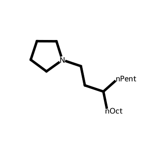 CCCCCCCCC(CCCCC)CCN1CCCC1